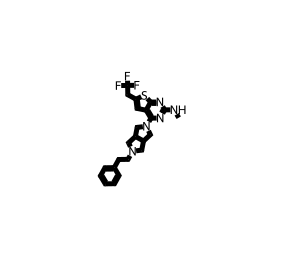 CNc1nc(N2CC3CN(CCc4ccccc4)CC3C2)c2cc(CC(F)(F)F)sc2n1